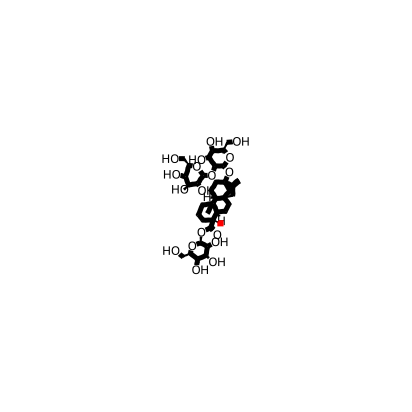 C=C1C[C@@]23CC[C@H]4C(C)(CCC[C@@]4(C)C(=O)O[C@@H]4O[C@H](CO)C(O)[C@H](O)C4O)[C@@H]2CCC1(OC1O[C@H](CO)C(O)C(O)C1OC1O[C@H](CO)C(O)[C@H](O)C1O)C3